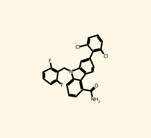 NC(=O)c1cccc2c1c1[c]cc(-c3c(Cl)cccc3Cl)cc1n2Cc1c(F)cccc1F